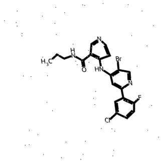 CCCNC(=O)c1cnccc1Nc1cc(-c2cc(Cl)ccc2F)ncc1Br